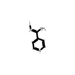 N/C(=N\I)c1ccncc1